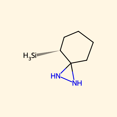 [SiH3][C@@H]1CCCCC12NN2